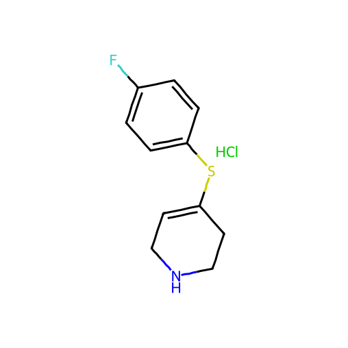 Cl.Fc1ccc(SC2=CCNCC2)cc1